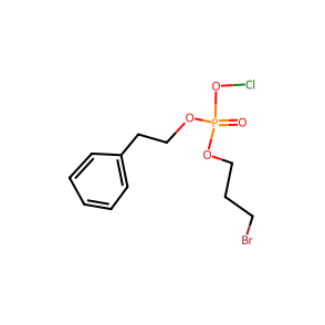 O=P(OCl)(OCCCBr)OCCc1ccccc1